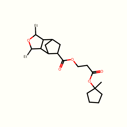 CCC1OC(CC)C2C3CC(CC3C(=O)OCCC(=O)OC3(C)CCCC3)C12